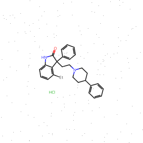 CCc1cccc2c1C(CCN1CCC(c3ccccc3)CC1)(c1ccccc1)C(=O)N2.Cl